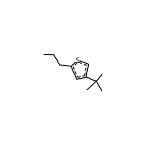 CCCc1cc(C(C)(C)C)cs1